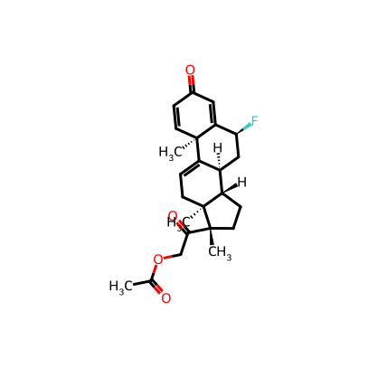 CC(=O)OCC(=O)[C@@]1(C)CC[C@H]2[C@@H]3C[C@H](F)C4=CC(=O)C=C[C@]4(C)C3=CC[C@@]21C